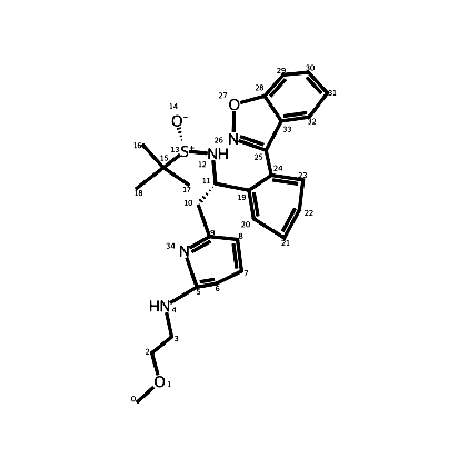 COCCNc1cccc(C[C@H](N[S@@+]([O-])C(C)(C)C)c2ccccc2-c2noc3ccccc23)n1